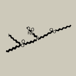 CCCCCCCCCOC(=O)CCCCCCCN(CCCCCCCC(=O)OC(CCCCCCCC)CCCCCCCI)CCCNC(=O)COC